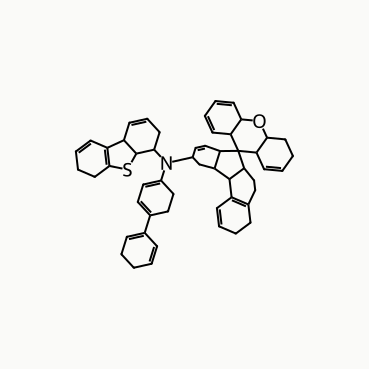 C1=CC2OC3CCC=CC3C3(C2C=C1)C1C=CC(N(C2=CC=C(C4=CCCC=C4)CC2)C2CC=CC4C5=C(CCC=C5)SC42)CC1C1C2=C(CCC=C2)CCC13